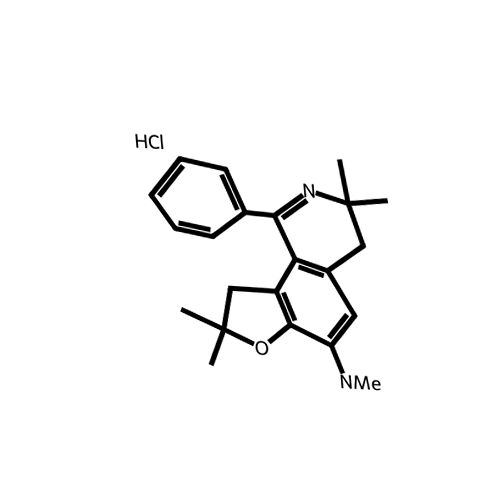 CNc1cc2c(c3c1OC(C)(C)C3)C(c1ccccc1)=NC(C)(C)C2.Cl